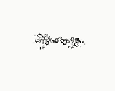 C/C=C\C=C(/C)[C@@H](NC(=O)OC)C(=O)N1C[C@@H](COC)C[C@H]1c1ncc(-c2ccc3c(c2)COc2cc4c(ccc5nc([C@@H]6CC[C@H](C)N6C(=O)[C@@H](NC(=O)OC)C(C)C)[nH]c54)cc2-3)[nH]1